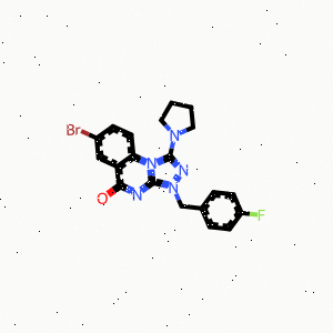 O=c1nc2n(Cc3ccc(F)cc3)nc(N3CCCC3)n2c2ccc(Br)cc12